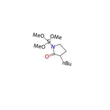 CCCCC1CCN([Si](OC)(OC)OC)C1=O